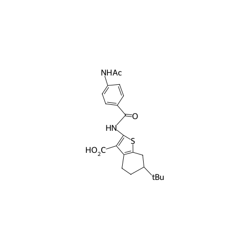 CC(=O)Nc1ccc(C(=O)Nc2sc3c(c2C(=O)O)CCC(C(C)(C)C)C3)cc1